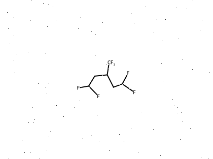 FC(F)CC(CC(F)F)C(F)(F)F